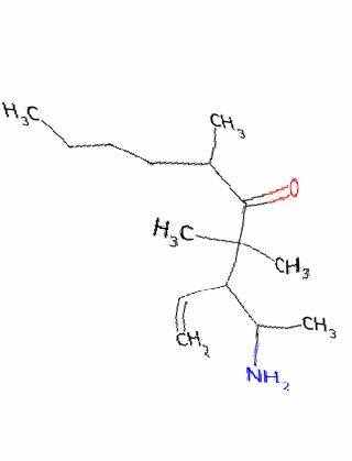 C=CC(C(C)N)C(C)(C)C(=O)C(C)CCCC